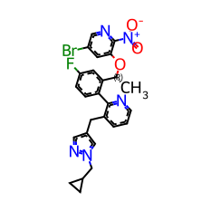 C[C@@H](Oc1cc(Br)cnc1[N+](=O)[O-])c1cc(F)ccc1-c1ncccc1Cc1cnn(CC2CC2)c1